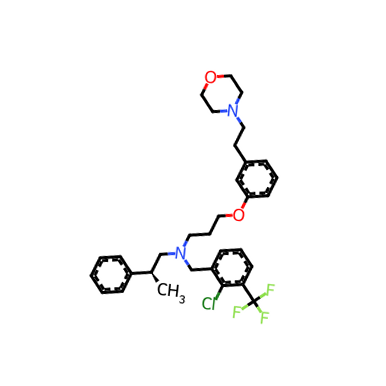 C[C@H](CN(CCCOc1cccc(CCN2CCOCC2)c1)Cc1cccc(C(F)(F)F)c1Cl)c1ccccc1